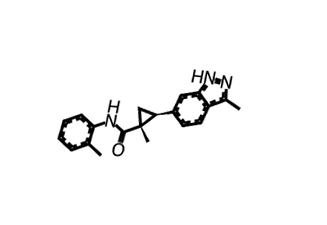 Cc1ccccc1NC(=O)[C@]1(C)C[C@H]1c1ccc2c(C)n[nH]c2c1